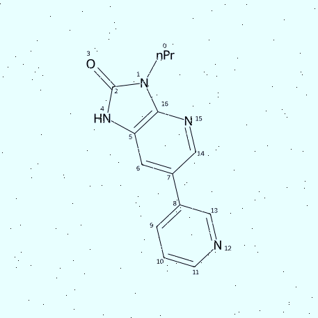 CCCn1c(=O)[nH]c2cc(-c3cccnc3)cnc21